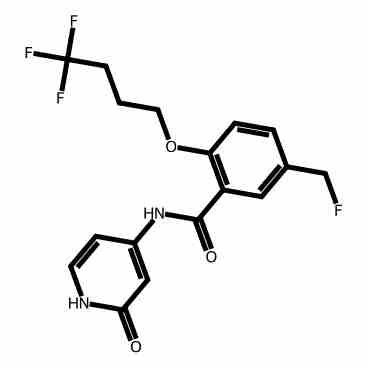 O=C(Nc1cc[nH]c(=O)c1)c1cc(CF)ccc1OCCCC(F)(F)F